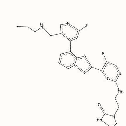 CCCNCc1cnc(F)cc1-c1cccc2cc(-c3nc(NCCN4CCNC4=O)ncc3F)sc12